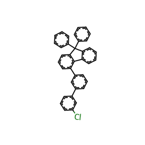 Clc1cccc(-c2cccc(-c3cccc4c3-c3ccccc3C4(c3ccccc3)c3ccccc3)c2)c1